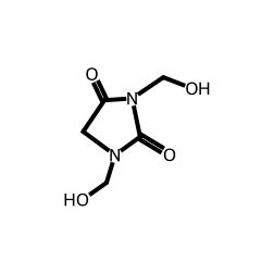 O=C1CN(CO)C(=O)N1CO